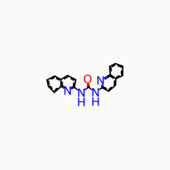 O=C(Nc1ccc2ccccc2n1)Nc1ccc2ccccc2n1